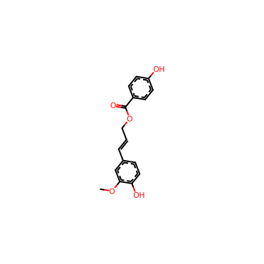 COc1cc(C=CCOC(=O)c2ccc(O)cc2)ccc1O